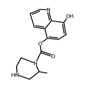 CC1CNCCN1C(=O)Oc1ccc(O)c2ncccc12